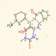 Bc1cccc(C2c3c(n(C)c(=O)n(C)c3=O)N=C3c4ccccc4C(=O)C32)c1